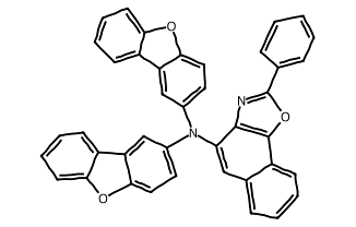 c1ccc(-c2nc3c(N(c4ccc5oc6ccccc6c5c4)c4ccc5oc6ccccc6c5c4)cc4ccccc4c3o2)cc1